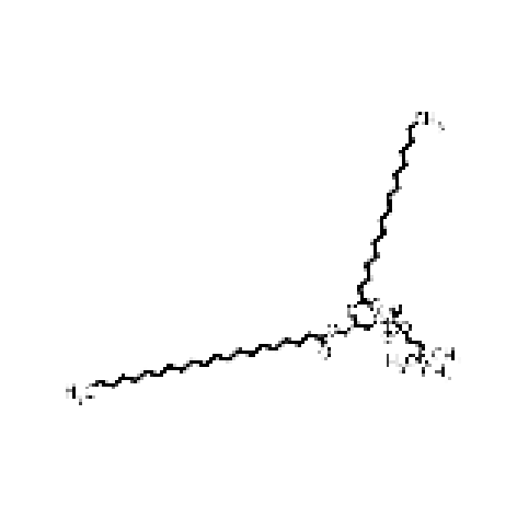 CCCCCCCCCCCCCCCCCCCCC(=O)OC[C@H](COP(=O)([O-])OCC[N+](C)(C)C)OC(=O)CCCCCCCCCCCCCCCC